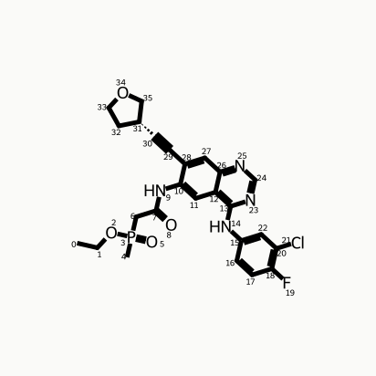 CCOP(C)(=O)CC(=O)Nc1cc2c(Nc3ccc(F)c(Cl)c3)ncnc2cc1C#C[C@@H]1CCOC1